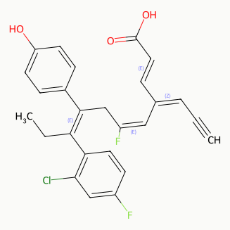 C#C/C=C(/C=C/C(=O)O)\C=C(\F)C/C(=C(/CC)c1ccc(F)cc1Cl)c1ccc(O)cc1